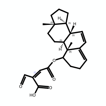 C[C@@]12CCC[C@H]1[C@@H]1C=CC3=CCCC(OC(=O)/C=C(/C=O)C(=O)O)[C@]3(C)[C@H]1CC2